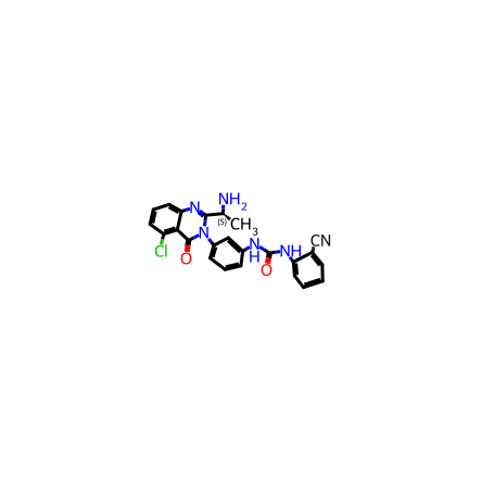 C[C@H](N)c1nc2cccc(Cl)c2c(=O)n1-c1cccc(NC(=O)Nc2ccccc2C#N)c1